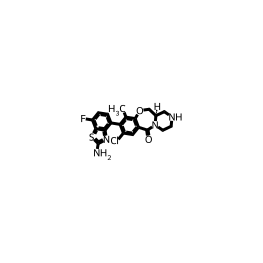 Cc1c2c(cc(Cl)c1-c1ccc(F)c3sc(N)nc13)C(=O)N1CCNC[C@@H]1CO2